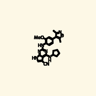 COc1cc(-c2c(C)noc2C)ccc1Nc1nc(NC2CCCC2)c2c(C#N)c[nH]c2n1